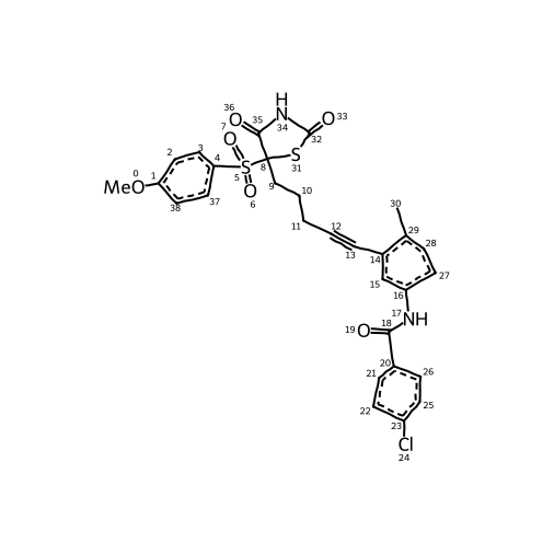 COc1ccc(S(=O)(=O)C2(CCCC#Cc3cc(NC(=O)c4ccc(Cl)cc4)ccc3C)SC(=O)NC2=O)cc1